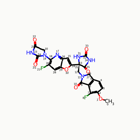 COc1ccc2c(c1F)C(=O)N(C[C@@]1(c3cc4nc(N5CC(=O)NC5=O)c(F)cc4o3)NC(=O)NC1=O)C2